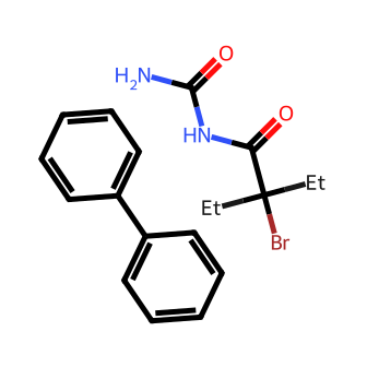 CCC(Br)(CC)C(=O)NC(N)=O.c1ccc(-c2ccccc2)cc1